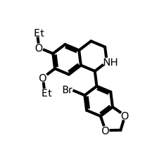 CCOc1cc2c(cc1OCC)C(c1cc3c(cc1Br)OCO3)NCC2